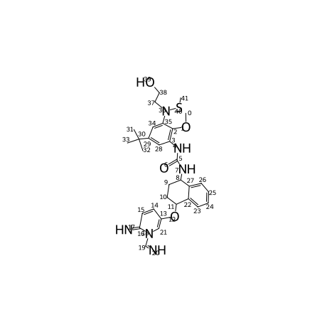 COc1c(NC(=O)NC2CCC(Oc3ccc(=N)n(C=N)c3)c3ccccc32)cc(C(C)(C)C)cc1N(CCO)SC